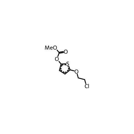 COC(=O)Oc1ccc(OCCCl)s1